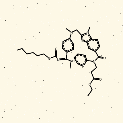 CCCCCCOC(=O)/N=C(/NC)c1ccc(N(C)Cc2nc3cc(C(=O)N(CCC(=O)OCC)c4ccccn4)ccc3n2C)cc1